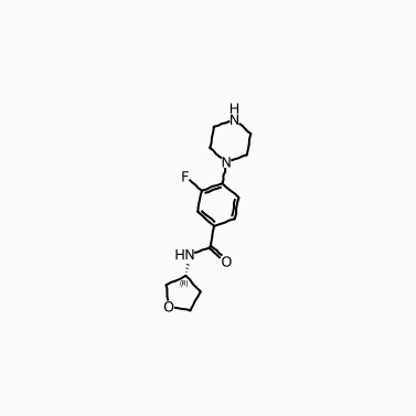 O=C(N[C@@H]1CCOC1)c1ccc(N2CCNCC2)c(F)c1